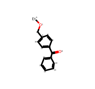 CCOCc1ccc(C(=O)c2ccccc2)cc1